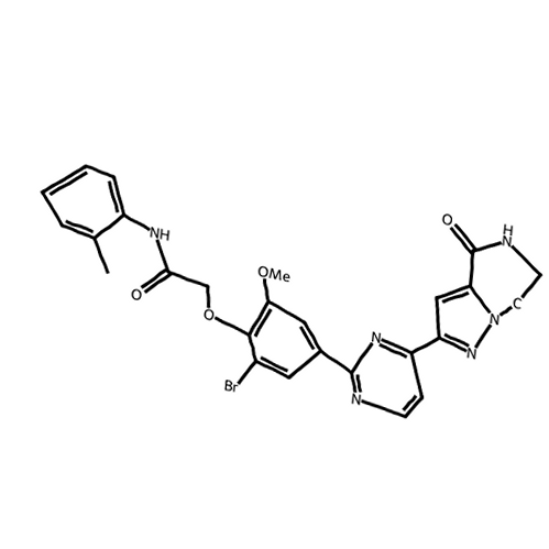 COc1cc(-c2nccc(-c3cc4n(n3)CCNC4=O)n2)cc(Br)c1OCC(=O)Nc1ccccc1C